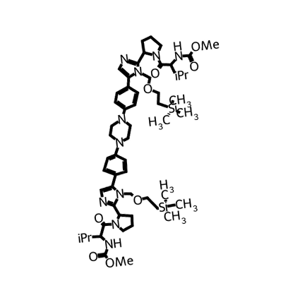 COC(=O)NC(C(=O)N1CCCC1c1ncc(-c2ccc(N3CCN(c4ccc(-c5cnc(C6CCCN6C(=O)C(NC(=O)OC)C(C)C)n5COCC[Si](C)(C)C)cc4)CC3)cc2)n1COCC[Si](C)(C)C)C(C)C